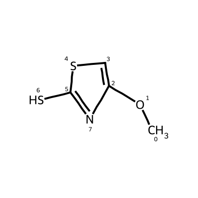 COc1csc(S)n1